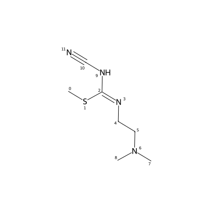 CS/C(=N\CCN(C)C)NC#N